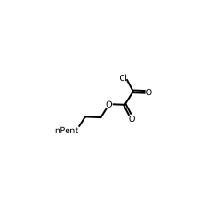 CCCCCCCOC(=O)C(=O)Cl